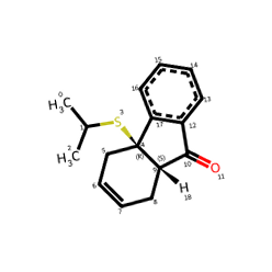 CC(C)S[C@]12CC=CC[C@H]1C(=O)c1ccccc12